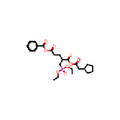 CCOP(=O)(CC(CCC(=O)OC(=O)c1ccccc1)C(=O)OC(=O)CC1CCCC1)OCC